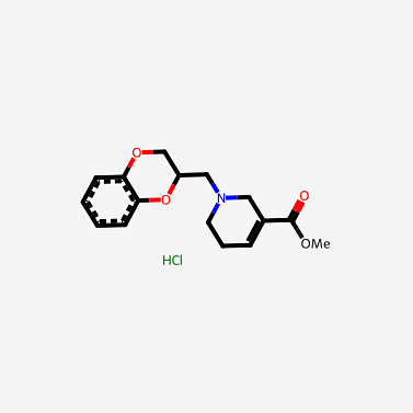 COC(=O)C1=CCCN(CC2COc3ccccc3O2)C1.Cl